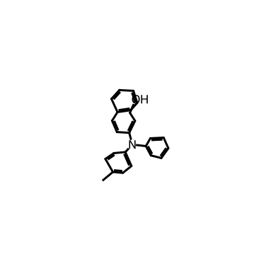 Cc1ccc(N(C(/C=C\c2ccccc2)=C/CO)c2ccccc2)cc1